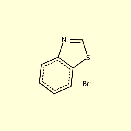 C1=[N+]c2ccccc2S1.[Br-]